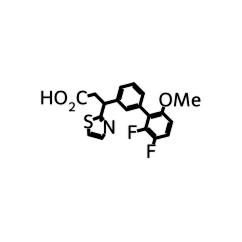 COc1ccc(F)c(F)c1-c1cccc(C(CC(=O)O)c2nccs2)c1